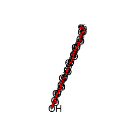 O=C(CCCCCO)OCCCCCC(=O)OCCCCCC(=O)OCCCCCC(=O)OCCCCCC(=O)OCCCCCC(=O)OCCCCCC(=O)OCCCCCC(=O)OCCCCCC(=O)OCCCCCC(=O)OC1CCC2CCCCC2C1